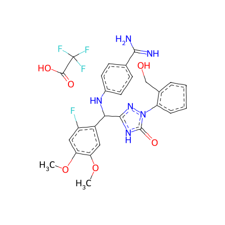 COc1cc(F)c(C(Nc2ccc(C(=N)N)cc2)c2nn(-c3ccccc3CO)c(=O)[nH]2)cc1OC.O=C(O)C(F)(F)F